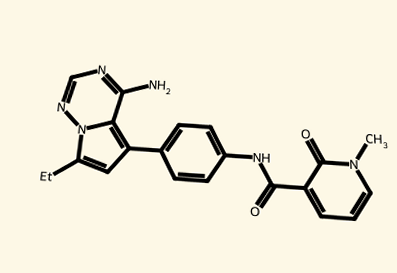 CCc1cc(-c2ccc(NC(=O)c3cccn(C)c3=O)cc2)c2c(N)ncnn12